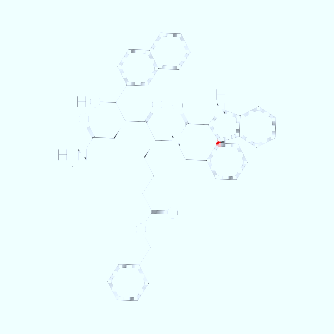 NC(=O)C[C@H](C(=O)[C@H](CCCC(=O)OCc1ccccc1)N(Cc1ccccc1)C(=O)c1cc2ccccc2[nH]1)C(O)c1ccc2ccccc2c1